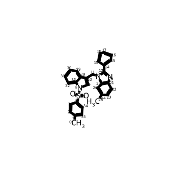 Cc1ccc(S(=O)(=O)n2cc(Cn3c(-c4ccccc4)nc4ccc(C)cc43)c3ccccc32)cc1